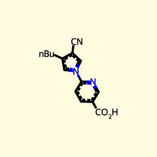 CCCCc1cn(-c2ccc(C(=O)O)cn2)cc1C#N